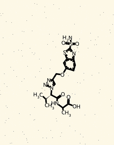 CC(NC(=O)[C@H](C(C)C)n1cc(COc2ccc3nc(S(N)(=O)=O)sc3c2)nn1)C(=O)O